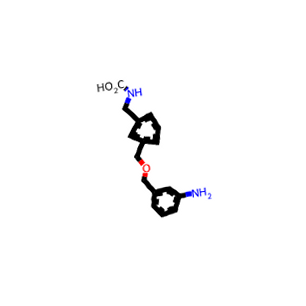 Nc1cccc(COCc2cccc(CNC(=O)O)c2)c1